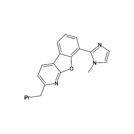 CC(C)Cc1ccc2c(n1)oc1c(-c3nccn3C)cccc12